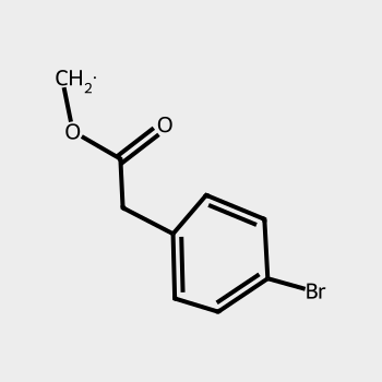 [CH2]OC(=O)Cc1ccc(Br)cc1